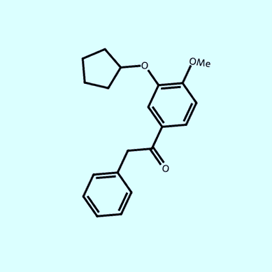 COc1ccc(C(=O)Cc2ccccc2)cc1OC1CCCC1